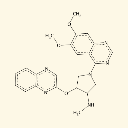 CNC1CN(c2ncnc3cc(OC)c(OC)cc23)CC1Oc1cnc2ccccc2n1